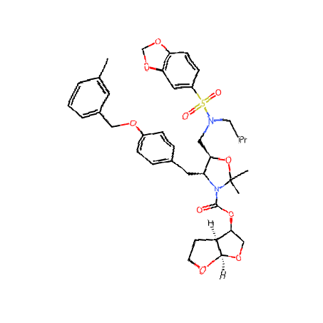 Cc1cccc(COc2ccc(C[C@H]3[C@@H](CN(CC(C)C)S(=O)(=O)c4ccc5c(c4)OCO5)OC(C)(C)N3C(=O)O[C@H]3CO[C@H]4OCC[C@H]43)cc2)c1